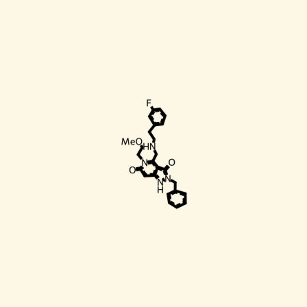 COCCn1c(CNCCc2cccc(F)c2)c2c(=O)n(Cc3ccccc3)[nH]c2cc1=O